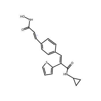 O=C(/C=C/c1ccc(C=C(C(=O)NC2CC2)c2cccs2)cc1)NO